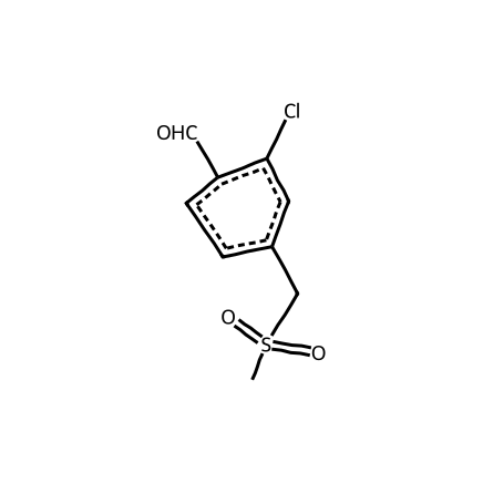 CS(=O)(=O)Cc1ccc(C=O)c(Cl)c1